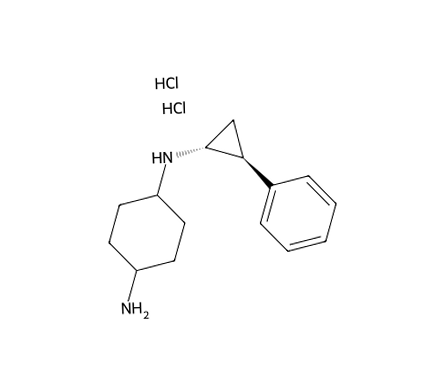 Cl.Cl.NC1CCC(N[C@@H]2C[C@H]2c2ccccc2)CC1